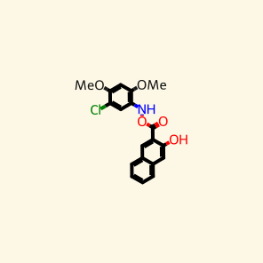 COc1cc(OC)c(NOC(=O)c2cc3ccccc3cc2O)cc1Cl